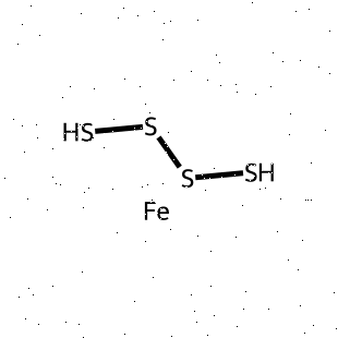 SSSS.[Fe]